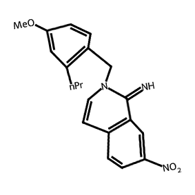 CCCc1cc(OC)ccc1Cn1ccc2ccc([N+](=O)[O-])cc2c1=N